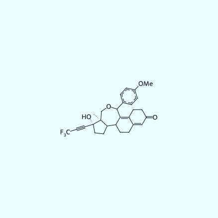 COc1ccc(C2OC[C@@]3(C)C(CC[C@@]3(O)C#CC(F)(F)F)C3CCC4=CC(=O)CCC4=C23)cc1